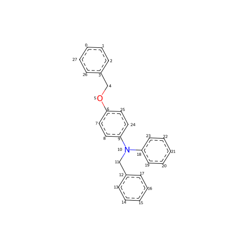 c1ccc(COc2ccc(N(Cc3ccccc3)c3ccccc3)cc2)cc1